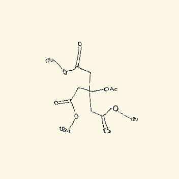 CC(=O)OC(CC(=O)OC(C)(C)C)(CC(=O)OC(C)(C)C)CC(=O)OC(C)(C)C